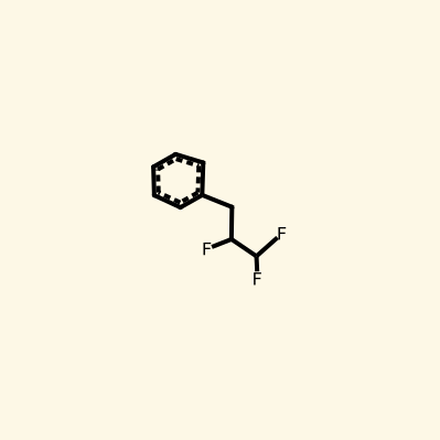 FC(F)C(F)Cc1ccccc1